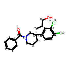 O=C(c1ccccc1)N1CCC[C@](CCCO)(c2ccc(Cl)c(Cl)c2)C1